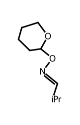 CC(C)/C=N/OC1CCCCO1